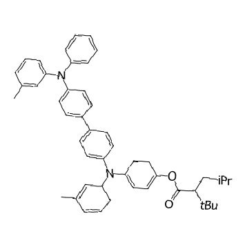 CC1=CC(N(C2=CC=C(OC(=O)C(CC(C)C)C(C)(C)C)CC2)c2ccc(-c3ccc(N(c4ccccc4)c4cccc(C)c4)cc3)cc2)CC=C1